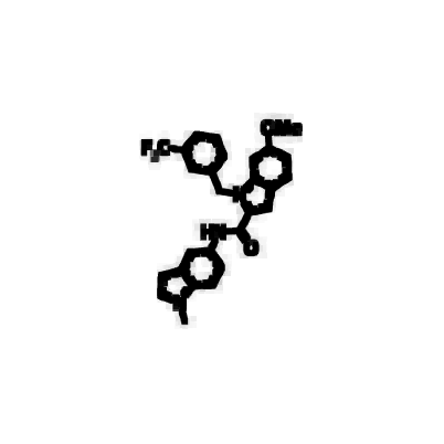 COc1ccc2cc(C(=O)Nc3ccc4c(ccn4C)c3)n(Cc3cccc(C(F)(F)F)c3)c2c1